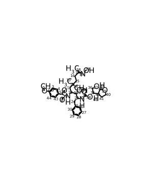 COc1ccc(S(=O)(=O)NC(CC(C)(C)CCC(C)=NO)[C@H](O)[C@H](Cc2ccccc2)NC(=O)O[C@H]2CO[C@H]3OCC[C@H]32)cc1